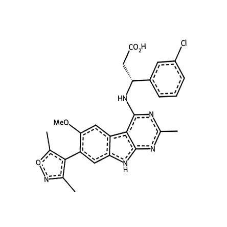 COc1cc2c(cc1-c1c(C)noc1C)[nH]c1nc(C)nc(N[C@H](CC(=O)O)c3cccc(Cl)c3)c12